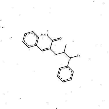 CCN(c1ccccc1)C(C)CC(=Cc1ccccc1)C(=O)OC